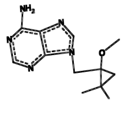 COC1(Cn2cnc3c(N)ncnc32)CC1(C)C